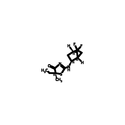 CC[C@]1(C)SC(N[C@H]2C[C@H]3C[C@@H]2CC3(F)F)=NC1=O